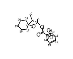 CCC1(OC(C)OC(=O)C2CC3C=CC2C3=O)CCCCC1